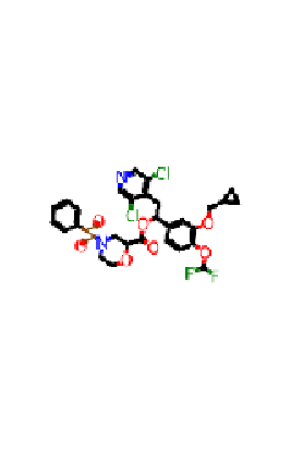 O=C(OC(Cc1c(Cl)cncc1Cl)c1ccc(OC(F)F)c(OCC2CC2)c1)C1CN(S(=O)(=O)c2ccccc2)CCO1